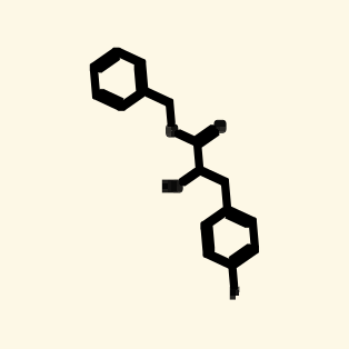 O=C(OCc1ccccc1)C(O)Cc1ccc(F)cc1